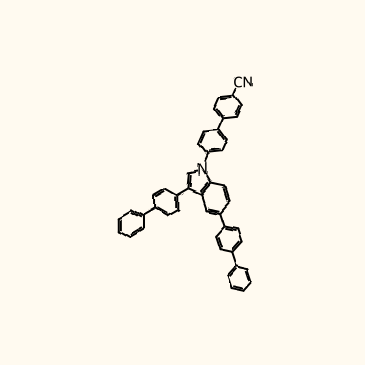 N#Cc1ccc(-c2ccc(-n3cc(-c4ccc(-c5ccccc5)cc4)c4cc(-c5ccc(-c6ccccc6)cc5)ccc43)cc2)cc1